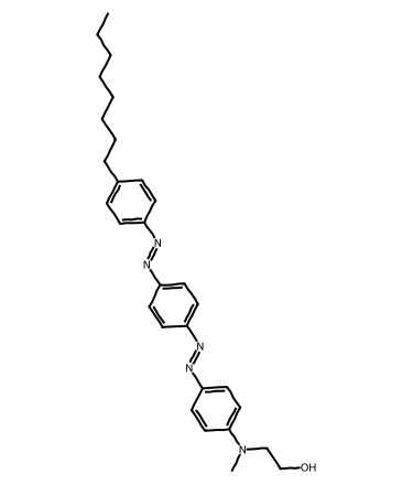 CCCCCCCCc1ccc(N=Nc2ccc(N=Nc3ccc(N(C)CCO)cc3)cc2)cc1